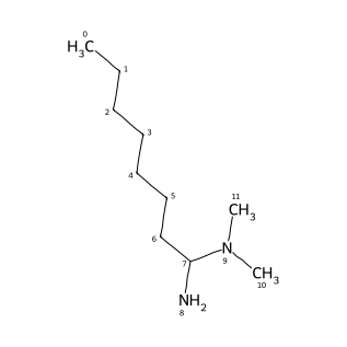 CCCCCCCC(N)N(C)C